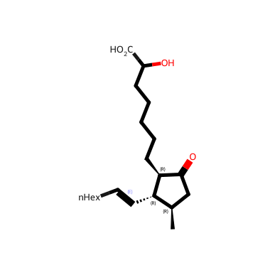 CCCCCC/C=C/[C@H]1[C@H](C)CC(=O)[C@@H]1CCCCCC(O)C(=O)O